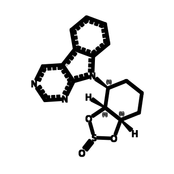 O=S1O[C@H]2[C@H](CCC[C@@H]2n2c3ccccc3c3cncnc32)O1